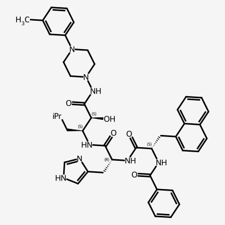 Cc1cccc(N2CCN(NC(=O)[C@@H](O)[C@H](CC(C)C)NC(=O)[C@@H](Cc3c[nH]cn3)NC(=O)[C@H](Cc3cccc4ccccc34)NC(=O)c3ccccc3)CC2)c1